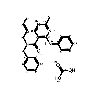 C/C=C/CN(Cc1ccccc1)C(=O)c1cnc(C)nc1Nc1ccccc1.O=C(O)O